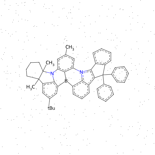 Cc1cc2c3c(c1)-n1c4c(c5cccc(c51)B3c1cc(C(C)(C)C)cc3c1N2C1(C)CCCCC31C)C(c1ccccc1)(c1ccccc1)c1ccccc1-4